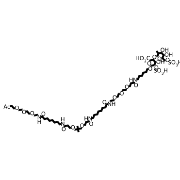 CC(=O)CCOCCOCCOCCNC(=O)CCCCCCCNC(=O)CCOCC(C)(C)COCCC(=O)NCCCCCCCC(=O)NCCOCCOCCOCCC(=O)NCCCCCCOC1OC(C(=O)O)C(OC2OC(COS(=O)(=O)O)C(O)C(O)C2C)C(O)C1OS(=O)(=O)O